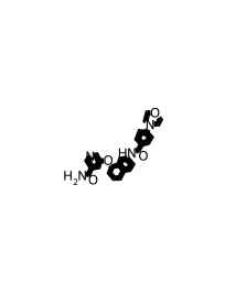 NC(=O)c1cncc(OC2CCCc3ccc(NC(=O)c4ccc(N5CCOCC5)cc4)cc32)c1